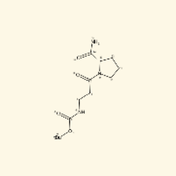 CC(C)(C)OC(=O)NCCC(=O)N1CCC[C@H]1C(N)=O